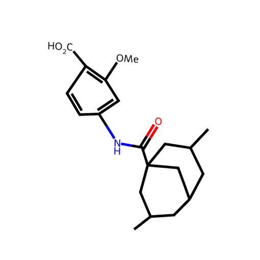 COc1cc(NC(=O)C23CC(C)CC(CC(C)C2)C3)ccc1C(=O)O